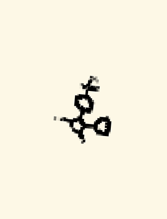 CS(=O)(=O)c1ccc(C2=C(c3ccccc3)C(=O)OC2[SeH])cc1